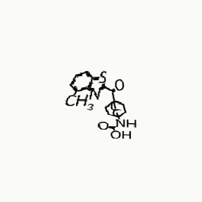 Cc1cccc2sc(C(=O)C34CCC(NC(=O)O)(CC3)CC4)nc12